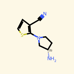 N#Cc1ccsc1N1CC[C@H](N)C1